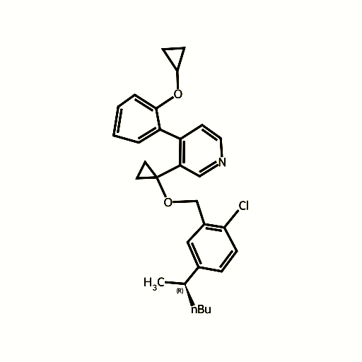 CCCC[C@@H](C)c1ccc(Cl)c(COC2(c3cnccc3-c3ccccc3OC3CC3)CC2)c1